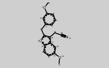 COc1cccc(Cc2oc3ccc(OC)cc3c2CC#N)c1